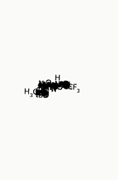 CC(C)(C)[Si](C)(C)OCC1(n2cc(C(=O)c3cncc(NC(=O)Cc4ccc(C(F)(F)F)cc4)c3)c3cncnc32)COC1